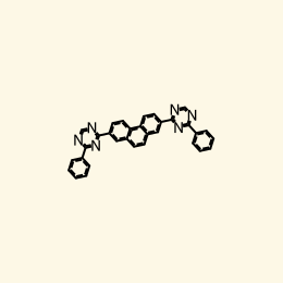 c1ccc(-c2ncnc(-c3ccc4c(ccc5cc(-c6ncnc(-c7ccccc7)n6)ccc54)c3)n2)cc1